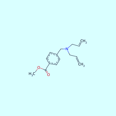 C=CCN(CC=C)Cc1ccc(C(=O)OC)cc1